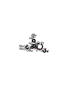 CC[C@H]1CCC[C@H](O[C@H]2CC[C@H](N(C)C)C(C)O2)[C@@H](C)C(=O)C2=C[C@H]3[C@@H]4C[C@H](O[C@@H]5OC(C)[C@H](OC)C(OC)C5OC)C[C@H]4[C@@H](O)[C@H](Nc4ccc(NC(=O)OC(C)(C)C)cc4)[C@H]3[C@@H]2CC(=O)O1